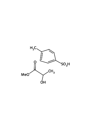 COC(=O)C(C)O.Cc1ccc(S(=O)(=O)O)cc1